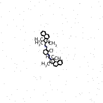 CN1/C(=C/C=C2\CCCC(/C=C/C3N(C)c4ccc5ccccc5c4C3(C)C)=C2Cl)C(C)(C)c2c1ccc1ccccc21